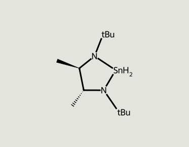 C[C@@H]1[C@@H](C)[N](C(C)(C)C)[SnH2][N]1C(C)(C)C